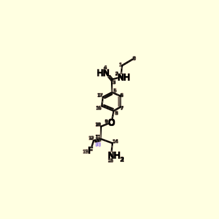 CCNC(=N)c1ccc(OC/C(=C/F)CN)cc1